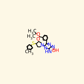 Cc1ccc(SC2CCN(C3=NC(=N)/C(=N\O)N=C3c3cccc(C(=O)OC(C)C)c3)CC2)cc1